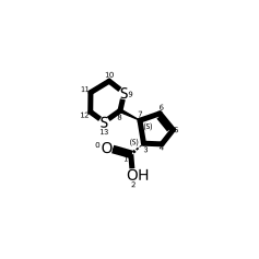 O=C(O)[C@H]1CC=C[C@@H]1C1SCCCS1